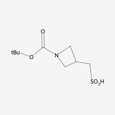 CC(C)(C)OC(=O)N1CC(CS(=O)(=O)O)C1